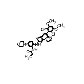 C=CC(=O)Nc1cc(N2CCOCC2)ccc1Nc1cc2c(cn1)cc(-c1c(Cl)c(OC)cc(OC)c1Cl)c1nccn12